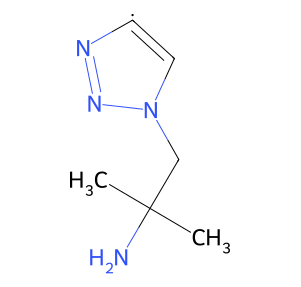 CC(C)(N)Cn1c[c]nn1